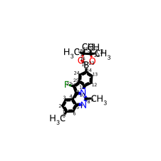 Cc1ccc2c(c1)nc(C)n1c3ccc(B4OC(C)(C)C(C)(C)O4)cc3c(F)c21